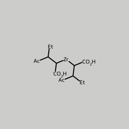 CCC(C(C)=O)[CH]([Zr][CH](C(=O)O)C(CC)C(C)=O)C(=O)O